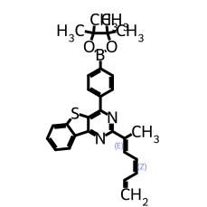 C=C/C=C\C=C(/C)c1nc(-c2ccc(B3OC(C)(C)C(C)(C)O3)cc2)c2sc3ccccc3c2n1